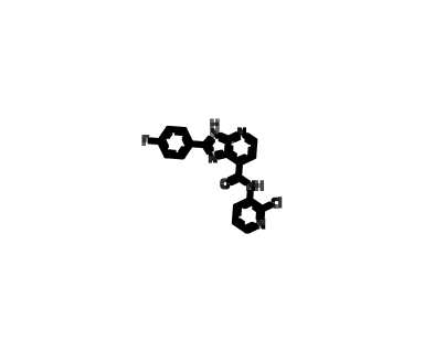 O=C(Nc1cccnc1Cl)c1ccnc2[nH]c(-c3ccc(F)cc3)nc12